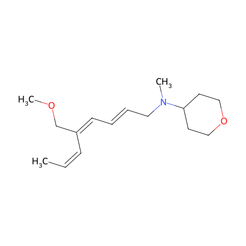 C\C=C/C(=C\C=C\CN(C)C1CCOCC1)COC